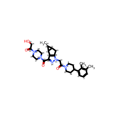 Cc1cccc(C2CCN(C(=O)Cn3nc(C(=O)N4CCN(C(=O)CO)CC4)c4c3CC3C4[C@@H]3C)CC2)c1C